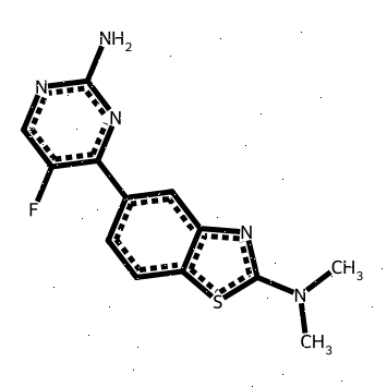 CN(C)c1nc2cc(-c3nc(N)ncc3F)ccc2s1